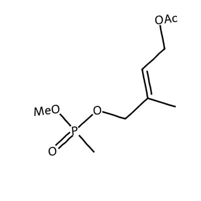 COP(C)(=O)OCC(C)=CCOC(C)=O